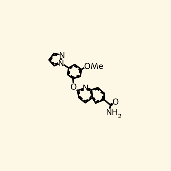 COc1cc(Oc2ccc3cc(C(N)=O)ccc3n2)cc(-n2cccn2)c1